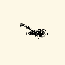 CC(C)(C)OC(=O)N(CCCCCCOCCCCc1ccccc1)CC(O)c1ccc(OC(O[PH2]=O)(OC(C)(C)C)OC(C)(C)C)c(C=O)c1